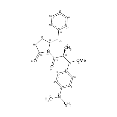 COC(c1ccc(N(C)C)cc1)[C@H](C)C(=O)N1C(=O)CC[C@@H]1Cc1ccccc1